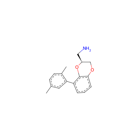 Cc1ccc(C)c(-c2cccc3c2O[C@@H](CN)CO3)c1